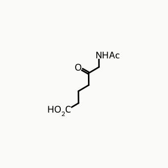 CC(=O)NCC(=O)CCCC(=O)O